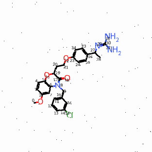 COc1ccc2c(c1)N(Cc1cccc(Cl)c1)C(=O)C(CCOc1ccc(C(C)N=C(N)N)cc1)O2